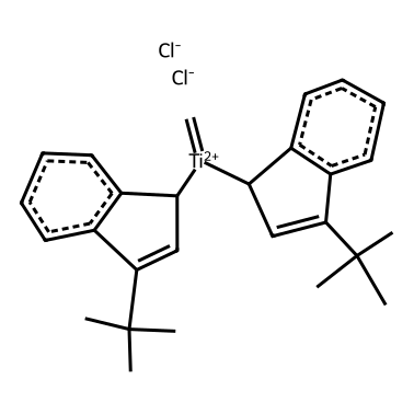 [CH2]=[Ti+2]([CH]1C=C(C(C)(C)C)c2ccccc21)[CH]1C=C(C(C)(C)C)c2ccccc21.[Cl-].[Cl-]